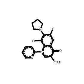 O=C(O)c1cn(-c2ccccn2)c2c(Cl)c(N3CCCC3)c(F)cc2c1=O